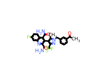 CC(=O)c1cccc(Cn2nc(C(F)(F)F)c(-c3c(C(N)=O)nc4cc(F)ccc4c3C(N)=O)c2C)c1